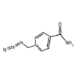 [N-]=[N+]=NCc1ccc(C(N)=O)cc1